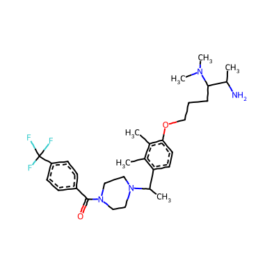 Cc1c(OCCCC(C(C)N)N(C)C)ccc(C(C)N2CCN(C(=O)c3ccc(C(F)(F)F)cc3)CC2)c1C